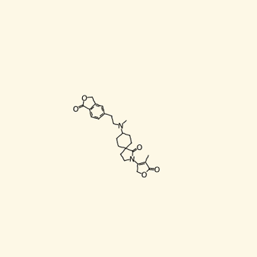 CC1=C(N2CCC3(CCC(N(C)CCc4ccc5c(c4)COC5=O)CC3)C2=O)COC1=O